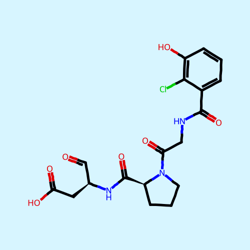 O=C[C@H](CC(=O)O)NC(=O)[C@@H]1CCCN1C(=O)CNC(=O)c1cccc(O)c1Cl